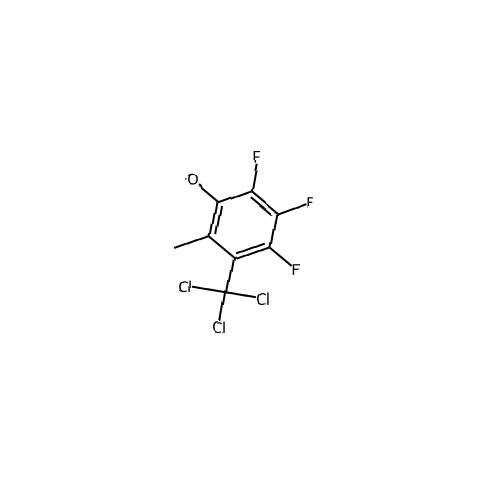 Cc1c([O])c(F)c(F)c(F)c1C(Cl)(Cl)Cl